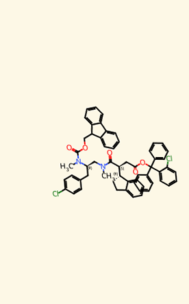 CN(C[C@@H](Cc1ccc(Cl)cc1)N(C)C(=O)OCC1c2ccccc2-c2ccccc21)C(=O)[C@@H](CC(=O)OC(c1ccccc1)(c1ccccc1)c1ccccc1Cl)[C@H]1CCc2ccccc21